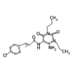 CCCn1c(N)c(NC(=O)/C=C/c2ccc(Cl)cc2)c(=O)n(CCC)c1=O